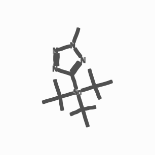 Cn1nn[c]([Sn]([C](C)(C)C)([C](C)(C)C)[C](C)(C)C)n1